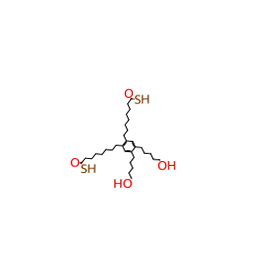 O=C(S)CCCCCCCc1cc(CCCCCO)c(CCCCCO)cc1CCCCCCCC(=O)S